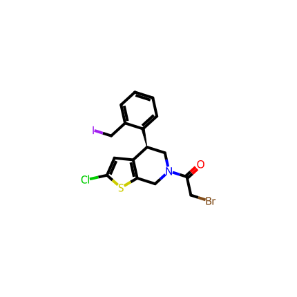 O=C(CBr)N1Cc2sc(Cl)cc2[C@@H](c2ccccc2CI)C1